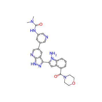 CN(C)C(=O)Nc1cncc(-c2cnc3[nH]nc(-c4cc5c(C(=O)N6CCOCC6)cccc5n4N)c3c2)c1